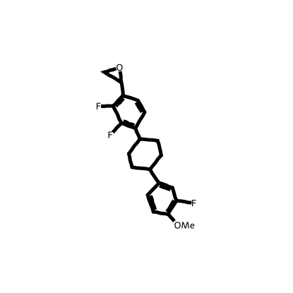 COc1ccc(C2CCC(c3ccc(C4CO4)c(F)c3F)CC2)cc1F